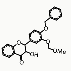 COCOc1cc(C2Oc3ccccc3C(=O)C2O)ccc1OCc1ccccc1